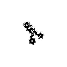 O=c1nc(SCc2cccs2)n(CCc2ccccc2)cc1Cc1cncnc1